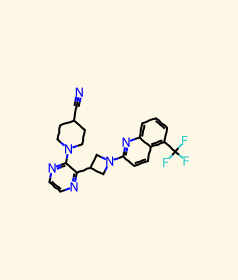 N#CC1CCN(c2nccnc2C2CN(c3ccc4c(C(F)(F)F)cccc4n3)C2)CC1